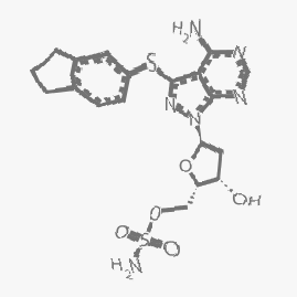 Nc1ncnc2c1c(Sc1ccc3c(c1)CCC3)nn2[C@H]1C[C@H](O)[C@H](COS(N)(=O)=O)O1